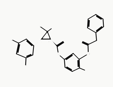 O=C(Cc1ccccc1)Nc1cc(NC(=O)[C@H]2[C@H](c3cc(Cl)cc(Cl)c3)C2(Cl)Cl)ccc1Cl